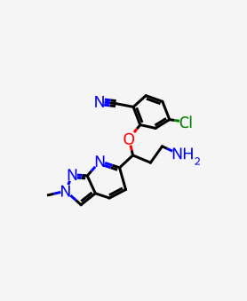 Cn1cc2ccc(C(CCN)Oc3cc(Cl)ccc3C#N)nc2n1